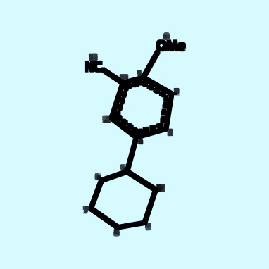 COc1ccc(C2CCCCC2)cc1C#N